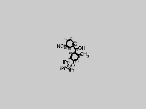 Cc1cc(O[Si](C(C)C)(C(C)C)C(C)C)ccc1C(O)c1cccc(C#N)c1